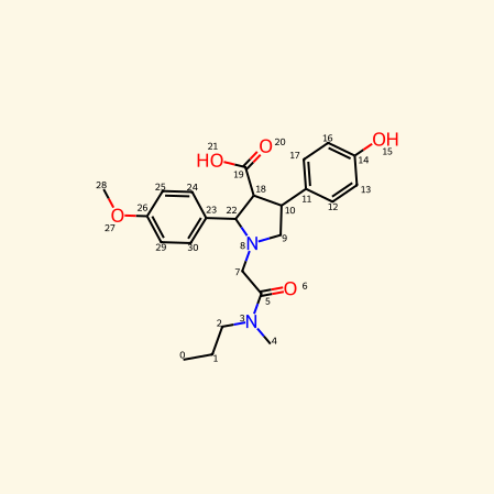 CCCN(C)C(=O)CN1CC(c2ccc(O)cc2)C(C(=O)O)C1c1ccc(OC)cc1